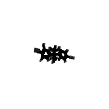 Oc1c(F)c(F)c(C(c2c(F)c(F)c(O)c(F)c2F)(C(F)(F)F)C(F)(F)F)c(F)c1F